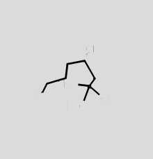 C[C@@H](CCCCl)CC(C)(C)C